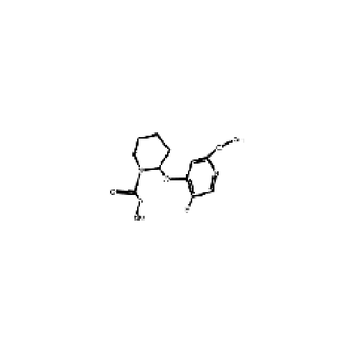 CC(C)(C)OC(=O)N1CCCCC1Oc1cc(CO)ncc1F